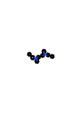 C1=CC(C2C=CC(N3C4CCCCC4C4CC(C5CCC6C(C5)C5CCCCC5N6C5CCC(C6CCCCC6)CC5)CCC43)CCC2)CCC1